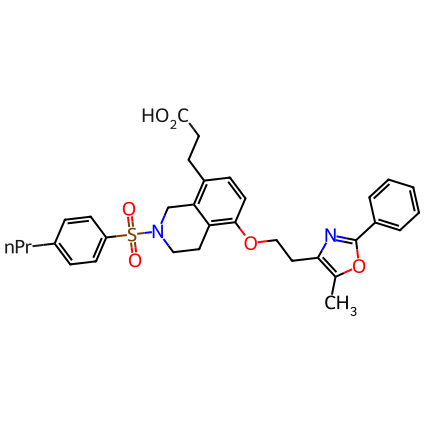 CCCc1ccc(S(=O)(=O)N2CCc3c(OCCc4nc(-c5ccccc5)oc4C)ccc(CCC(=O)O)c3C2)cc1